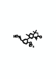 Cc1cc2c(cc1-c1cc(C=NO)ccc1OC(F)(F)F)N(C)C(=O)CC2(C)C